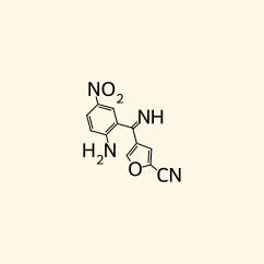 N#Cc1cc(C(=N)c2cc([N+](=O)[O-])ccc2N)co1